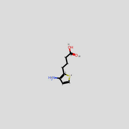 Nc1ccsc1CCCC(=O)O